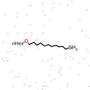 CCCCCCOCCCCCCCCCCC[SiH3]